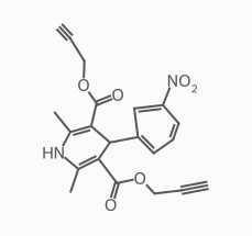 C#CCOC(=O)C1=C(C)NC(C)=C(C(=O)OCC#C)C1c1cccc([N+](=O)[O-])c1